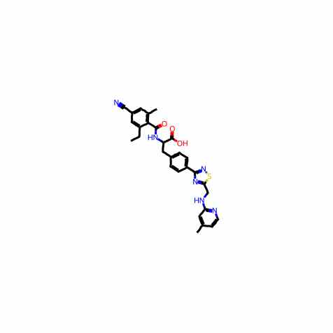 CCc1cc(C#N)cc(C)c1C(=O)NC(Cc1ccc(-c2nsc(CNc3cc(C)ccn3)n2)cc1)C(=O)O